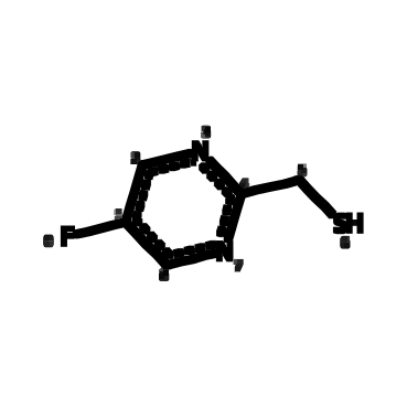 Fc1cnc(CS)nc1